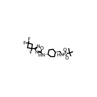 CC(C)(C)S(=O)(=O)NC[C@H]1CC[C@H](Nc2nc(C3(F)CC(F)(F)C3)no2)CC1